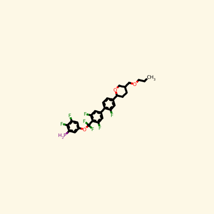 CCCOCC1CCC(c2ccc(-c3cc(F)c(C(F)(F)Oc4cc(F)c(F)c(P)c4)c(F)c3)c(F)c2)OC1